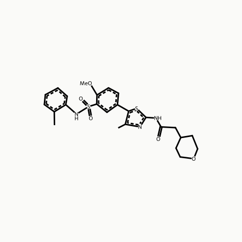 COc1ccc(-c2sc(NC(=O)CC3CCOCC3)nc2C)cc1S(=O)(=O)Nc1ccccc1C